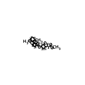 COC(=O)C[C@@H]1COc2cc(O[C@@H]3CCc4c(C5=C(C)CCCC5(C)C)cccc43)ccc21